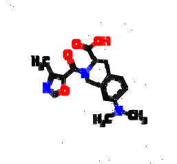 Cc1ncoc1C(=O)N1Cc2cc(N(C)C)ccc2CC1C(=O)O